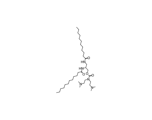 CCCCCCCCCCCC(=O)NCC(COC(=O)N(CCN(C)C)CCN(C)C)NC(=O)CCCCCCCCCCC